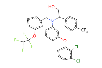 OCC(c1ccc(C(F)(F)F)cc1)N(Cc1cccc(OC(F)(F)C(F)F)c1)c1cccc(Oc2cccc(Cl)c2Cl)c1